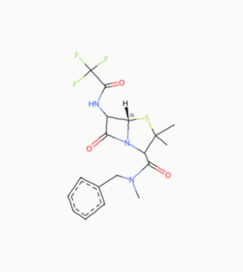 CN(Cc1ccccc1)C(=O)C1N2C(=O)C(NC(=O)C(F)(F)F)[C@@H]2SC1(C)C